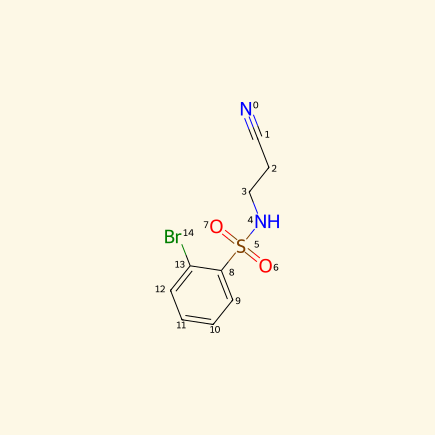 N#CCCNS(=O)(=O)c1ccccc1Br